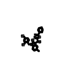 Cc1ccc2c(c1)c(C(=O)c1nnc(-c3ccccc3)o1)c(Cl)n2Cc1ccc(Cl)cc1Cl